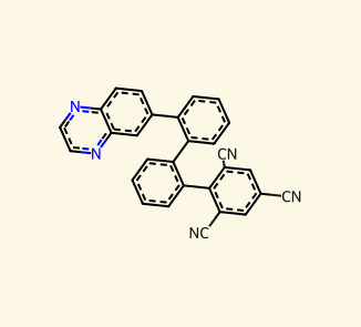 N#Cc1cc(C#N)c(-c2ccccc2-c2ccccc2-c2ccc3nccnc3c2)c(C#N)c1